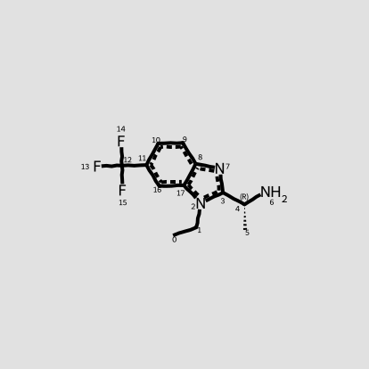 CCn1c([C@@H](C)N)nc2ccc(C(F)(F)F)cc21